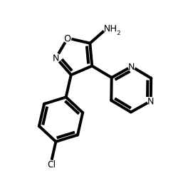 Nc1onc(-c2ccc(Cl)cc2)c1-c1ccncn1